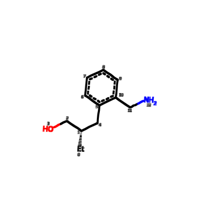 CC[C@H](CO)Cc1ccccc1CN